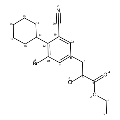 CCOC(=O)C(Cl)Cc1cc(Br)c(C2CCCCC2)c(C#N)c1